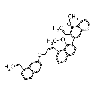 C=Cc1c(-c2ccc3cccc(/C=C\COc4ccc5cccc(C=C)c5c4)c3c2OC)cc2ccccc2c1OC